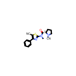 CN(C(=O)[C@@H]1CCCN1C#N)c1nc(-c2ccccc2)c(C#N)s1